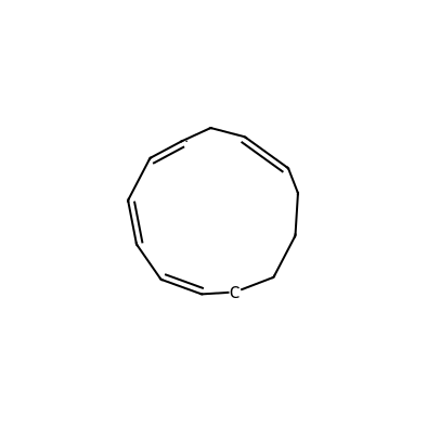 [C]1=CC=CC=CCCCCC=CC1